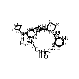 CN1CCNC(=O)COc2ccc(F)cc2C(=O)N2CCCC[C@H]2c2cc3nc(NC4COC4)cc1n3n2